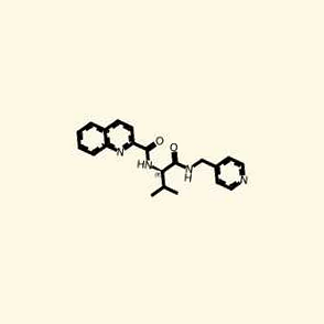 CC(C)[C@@H](NC(=O)c1ccc2ccccc2n1)C(=O)NCc1ccncc1